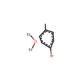 CCOCC.Cc1ccc(Br)cc1